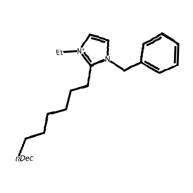 CCCCCCCCCCCCCCCCc1n(Cc2ccccc2)cc[n+]1CC